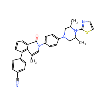 Cc1cn(-c2ccc(N3CC(C)N(c4nccs4)C(C)C3)cc2)c(=O)c2cccc(-c3ccc(C#N)cc3)c12